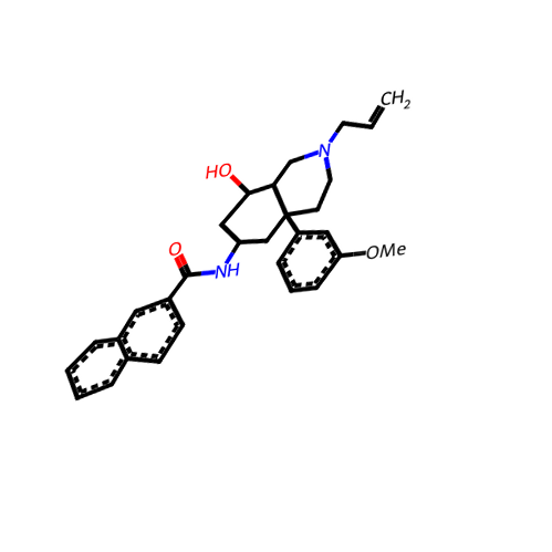 C=CCN1CCC2(c3cccc(OC)c3)CC(NC(=O)c3ccc4ccccc4c3)CC(O)C2C1